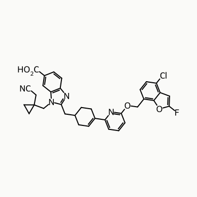 N#CCC1(Cn2c(CC3CC=C(c4cccc(OCc5ccc(Cl)c6cc(F)oc56)n4)CC3)nc3ccc(C(=O)O)cc32)CC1